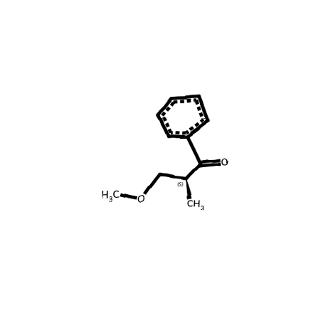 COC[C@H](C)C(=O)c1ccccc1